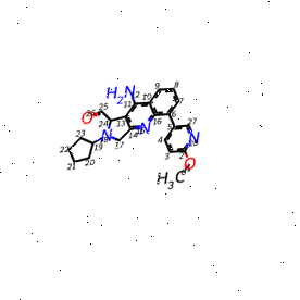 COc1ccc(-c2cccc3c(N)c4c(nc23)CN(C2CCCC2)C4C=O)cn1